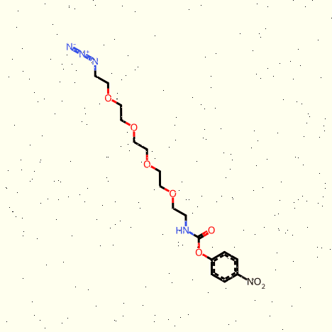 [N-]=[N+]=NCCOCCOCCOCCOCCNC(=O)Oc1ccc([N+](=O)[O-])cc1